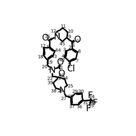 O=C(c1ccc(Cl)cc1)C1CCCN(C(=O)c2ccc(CN3CC4(CCN(Cc5ccc(C(F)(F)F)cc5)CC4)OC3=O)cc2)C1